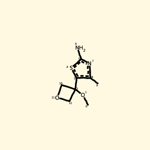 COC1(c2sc(N)nc2C)COC1